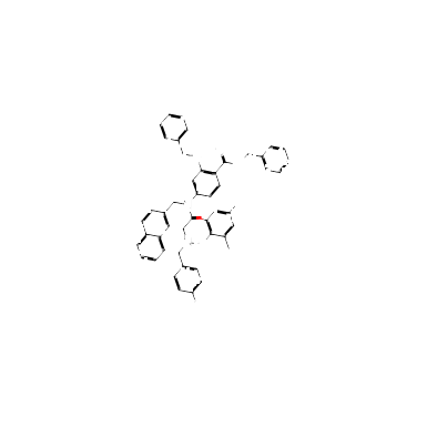 C=C(CN(Cc1ccc(Cl)cc1)Sc1c(C)cc(C)cc1C)N(Cc1ccc2ccccc2c1)c1ccc(C(=O)OCc2ccccc2)c(OCc2ccccc2)c1